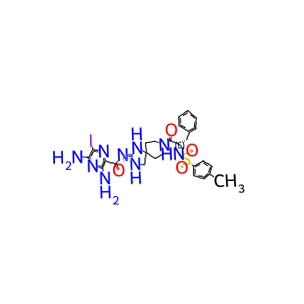 Cc1ccc(S(=O)(=O)N[C@@H](Cc2ccccc2)C(=O)N2CCC3(CC2)CN/C(=N\C(=O)c2nc(I)c(N)nc2N)N3)cc1